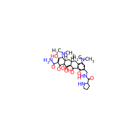 CN(C)c1cc(CNC(=O)C2CCCN2)c(O)c2c1C[C@H]1C[C@H]3C(N(C)C)C(O)=C(C(N)=O)C(=O)[C@@]3(O)C(O)=C1C2=O